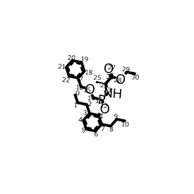 CCCc1cccc(CCC)c1OP(COCc1ccccc1)N[C@@H](C)C(=O)OCC